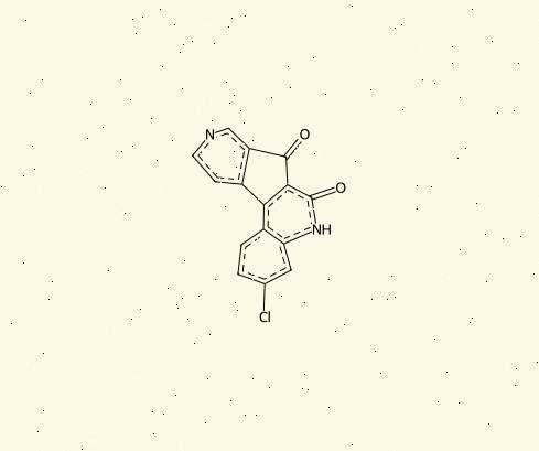 O=C1c2cnccc2-c2c1c(=O)[nH]c1cc(Cl)ccc21